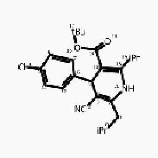 CC(C)CC1=C(C#N)C(c2ccc(Cl)cc2)C(C(=O)OC(C)(C)C)=C(C(C)C)N1